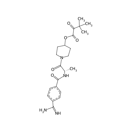 C[C@H](NC(=O)c1ccc(C(=N)N)cc1)C(=O)N1CCC(OC(=O)C(=O)C(C)(C)C)CC1